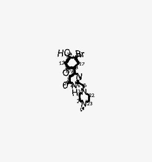 CN1CCN(Cc2nc3c(oc4cc(O)c(Br)cc43)c(=O)[nH]2)CC1